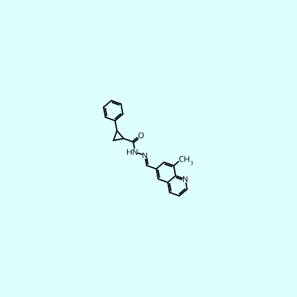 Cc1cc(C=NNC(=O)C2CC2c2ccccc2)cc2cccnc12